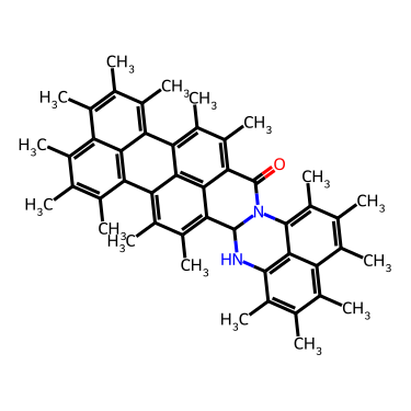 Cc1c(C)c2c3c(c(C)c(C)c(C)c3c1C)N1C(=O)c3c(C)c(C)c4c5c(C)c(C)c(C)c6c(C)c(C)c(C)c(c7c(C)c(C)c(c3c47)C1N2)c65